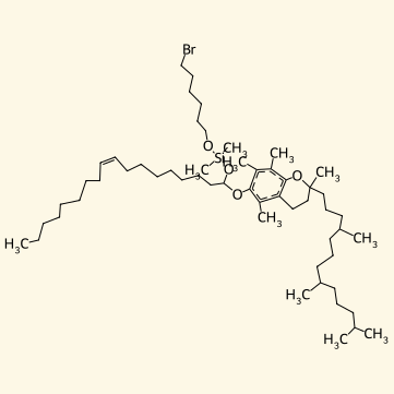 CCCCCCCC/C=C\CCCCCCCC(Oc1c(C)c(C)c2c(c1C)CCC(C)(CCCC(C)CCCC(C)CCCC(C)C)O2)O[Si](C)(C)OCCCCCCBr